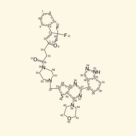 O=C(C=C(c1ccccc1)C(F)(F)F)CCC(=O)N1CCN(Cc2cc3nc(-c4cccc5[nH]ncc45)nc(N4CCOCC4)c3s2)CC1